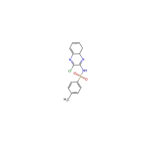 Cc1ccc(S(=O)(=O)NC2=NC3CC=CC=C3N=C2Cl)cc1